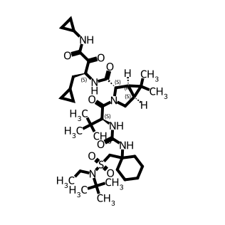 CCN(C(C)(C)C)S(=O)(=O)CC1(NC(=O)N[C@H](C(=O)N2C[C@H]3[C@@H]([C@H]2C(=O)N[C@@H](CC2CC2)C(=O)C(=O)NC2CC2)C3(C)C)C(C)(C)C)CCCCC1